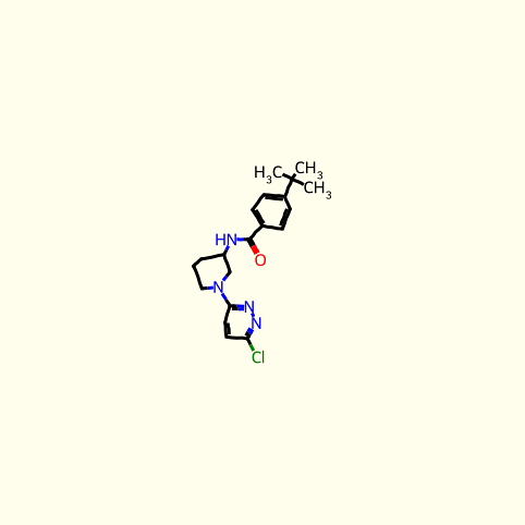 CC(C)(C)c1ccc(C(=O)NC2CCCN(c3ccc(Cl)nn3)C2)cc1